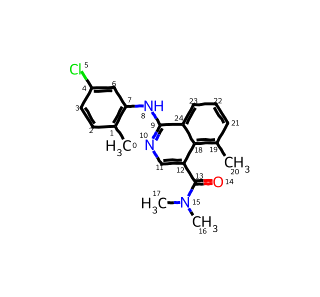 Cc1ccc(Cl)cc1Nc1ncc(C(=O)N(C)C)c2c(C)cccc12